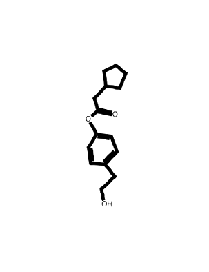 O=C(CC1CCCC1)Oc1ccc(CCO)cc1